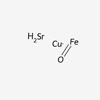 [Cu].[O]=[Fe].[SrH2]